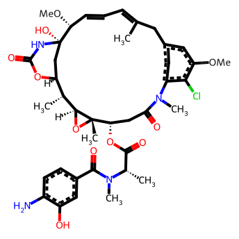 COc1cc2cc(c1Cl)N(C)C(=O)C[C@H](OC(=O)[C@H](C)N(C)C(=O)c1ccc(N)c(O)c1)[C@]1(C)O[C@H]1[C@H](C)[C@@H]1C[C@@](O)(NC(=O)O1)[C@H](OC)/C=C/C=C(\C)C2